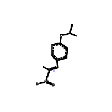 C/C(=C\c1ccc(OC(C)C)cc1)[N+](=O)[O-]